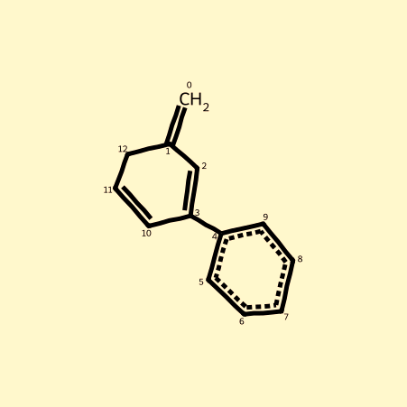 C=C1C=C(c2ccccc2)C=CC1